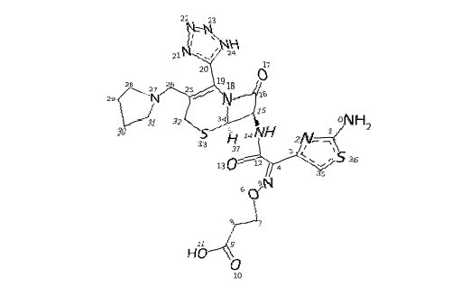 Nc1nc(/C(=N/OCCC(=O)O)C(=O)N[C@@H]2C(=O)N3C(c4nnn[nH]4)=C(CN4CCCC4)CS[C@H]23)cs1